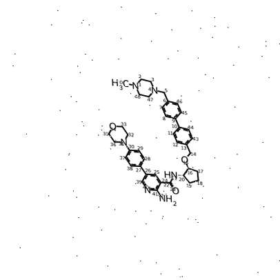 CN1CCN(Cc2ccc(-c3ccc(CO[C@H]4CCC[C@@H]4NC(=O)c4cc(-c5ccc(N6CCOCC6)cc5)cnc4N)cc3)cc2)CC1